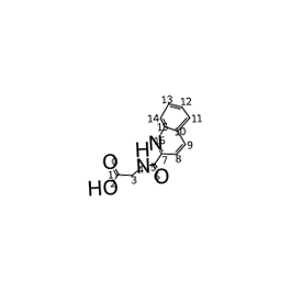 O=C(O)CNC(=O)c1ccc2ccccc2n1